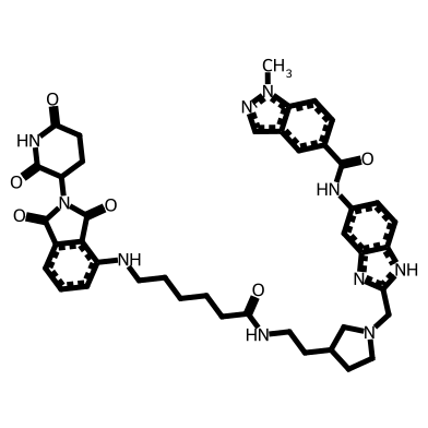 Cn1ncc2cc(C(=O)Nc3ccc4[nH]c(CN5CCC(CCNC(=O)CCCCCNc6cccc7c6C(=O)N(C6CCC(=O)NC6=O)C7=O)C5)nc4c3)ccc21